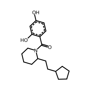 O=C(c1ccc(O)cc1O)N1CCCCC1CCC1CCCC1